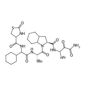 CCCC(NC(=O)[C@@H]1CC2CCCCC2N1C(=O)[C@@H](NC(=O)C(NC(=O)C1CSC(=O)N1)C1CCCCC1)C(C)(C)C)C(=O)C(N)=O